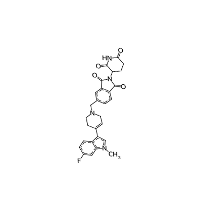 Cn1cc(C2=CCN(Cc3ccc4c(c3)C(=O)N(C3CCC(=O)NC3=O)C4=O)CC2)c2ccc(F)cc21